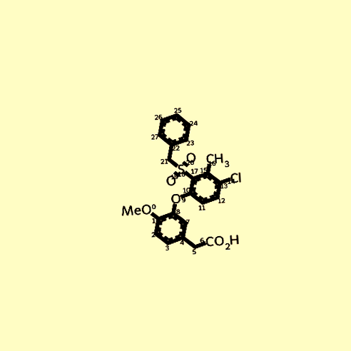 COc1ccc(CC(=O)O)cc1Oc1ccc(Cl)c(C)c1S(=O)(=O)Cc1ccccc1